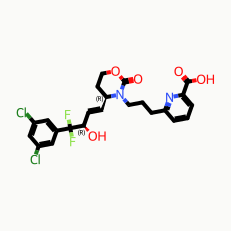 O=C(O)c1cccc(CCCN2C(=O)OCC[C@@H]2C=C[C@@H](O)C(F)(F)c2cc(Cl)cc(Cl)c2)n1